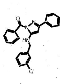 O=C(c1ccccc1)n1nc(-c2ccccc2)cc1NCc1cccc(Cl)c1